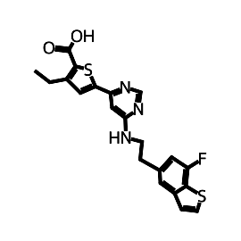 CCc1cc(-c2cc(NCCc3cc(F)c4sccc4c3)ncn2)sc1C(=O)O